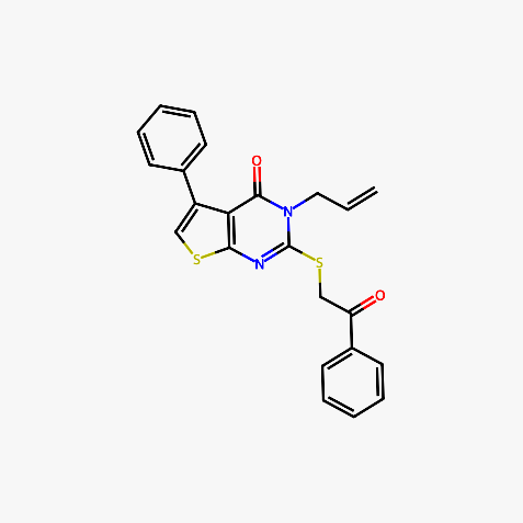 C=CCn1c(SCC(=O)c2ccccc2)nc2scc(-c3ccccc3)c2c1=O